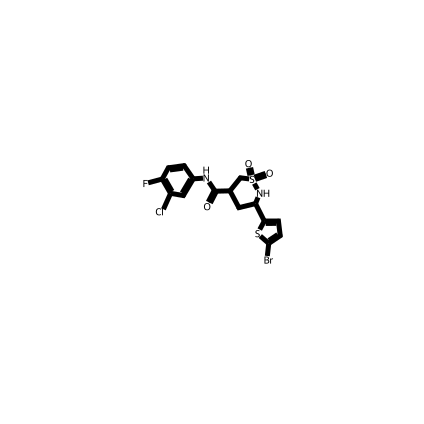 O=C(Nc1ccc(F)c(Cl)c1)C1CC(c2ccc(Br)s2)NS(=O)(=O)C1